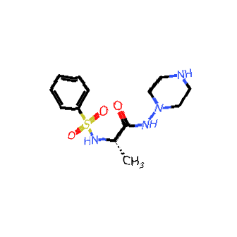 C[C@H](NS(=O)(=O)c1ccccc1)C(=O)NN1CCNCC1